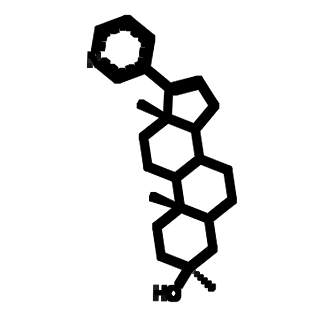 C[C@]1(O)CC[C@@]2(C)C(CCC3C2CC[C@]2(C)C(c4cccnc4)=CCC32)C1